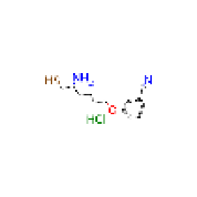 Cl.N#Cc1cccc(OCCCCC(N)CS)c1